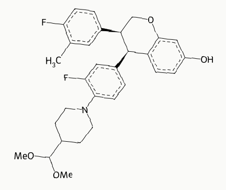 COC(OC)C1CCN(c2ccc([C@@H]3c4ccc(O)cc4OC[C@@H]3c3ccc(F)c(C)c3)cc2F)CC1